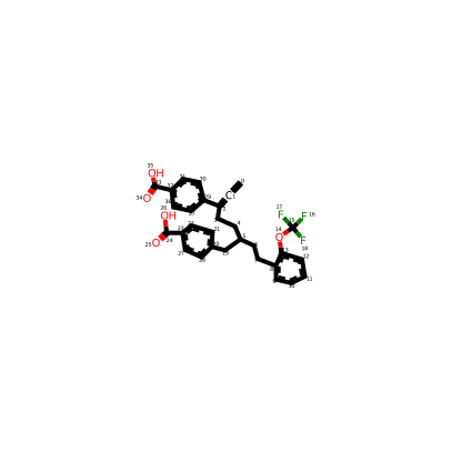 C=C=C(CCC(CCc1ccccc1OC(F)(F)F)Cc1ccc(C(=O)O)cc1)c1ccc(C(=O)O)cc1